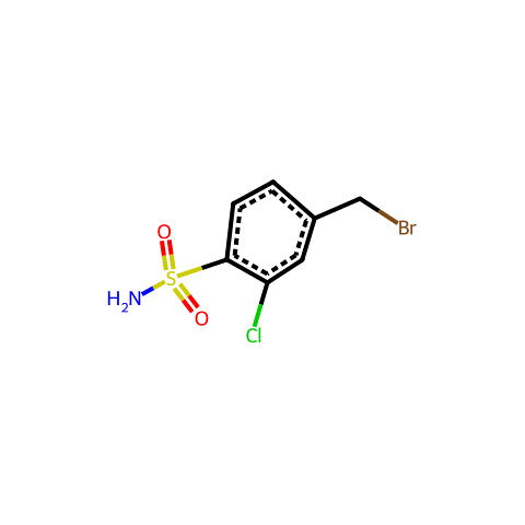 NS(=O)(=O)c1ccc(CBr)cc1Cl